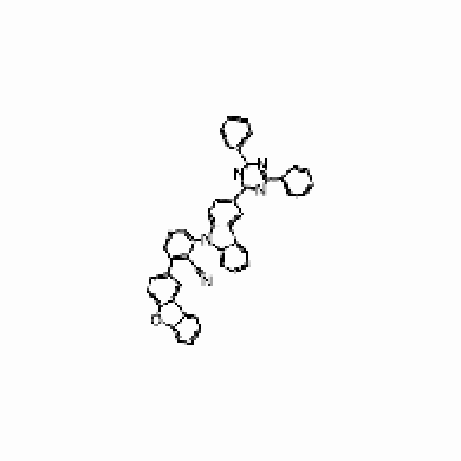 N#Cc1c(-c2ccc3oc4ccccc4c3c2)cccc1-n1c2ccccc2c2cc(-c3nc(-c4ccccc4)nc(-c4ccccc4)n3)ccc21